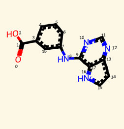 O=C(O)c1cccc(Nc2ncnc3cc[nH]c23)c1